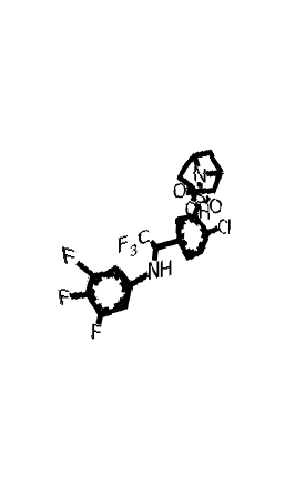 O=S(=O)(c1cc(C(Nc2cc(F)c(F)c(F)c2)C(F)(F)F)ccc1Cl)N1C2CC(O)CC1C2